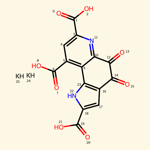 O=C(O)c1cc(C(=O)O)c2c(n1)C(=O)C(=O)c1cc(C(=O)O)[nH]c1-2.[KH].[KH]